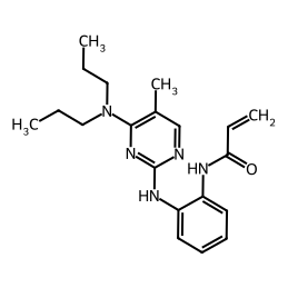 C=CC(=O)Nc1ccccc1Nc1ncc(C)c(N(CCC)CCC)n1